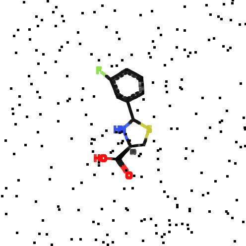 O=C(O)[C@@H]1CSC(c2cccc(F)c2)N1